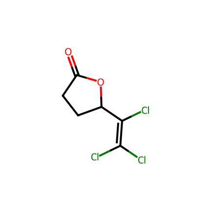 O=C1CCC(C(Cl)=C(Cl)Cl)O1